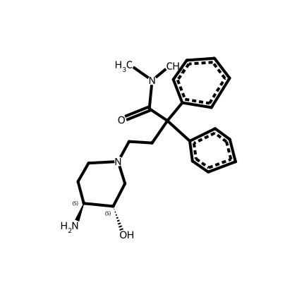 CN(C)C(=O)C(CCN1CC[C@H](N)[C@@H](O)C1)(c1ccccc1)c1ccccc1